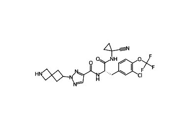 N#CC1(NC(=O)[C@H](Cc2ccc(OC(F)(F)F)c(Cl)c2)NC(=O)c2cnn(C3CC4(CNC4)C3)n2)CC1